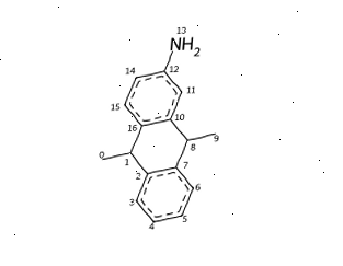 CC1c2ccccc2C(C)c2cc(N)ccc21